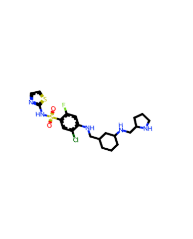 O=S(=O)(Nc1nccs1)c1cc(Cl)c(NCC2CCCC(NCC3CCCN3)C2)cc1F